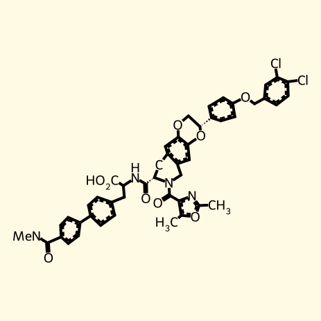 CNC(=O)c1ccc(-c2ccc(CC(NC(=O)[C@@H]3Cc4cc5c(cc4CN3C(=O)c3nc(C)oc3C)O[C@@H](c3ccc(OCc4ccc(Cl)c(Cl)c4)cc3)CO5)C(=O)O)cc2)cc1